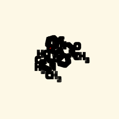 Cc1cc(C)nc(O[C@H](C(=O)O)[C@]2(c3ccccc3)c3ccccc3N(C)C(=O)CN2C)n1